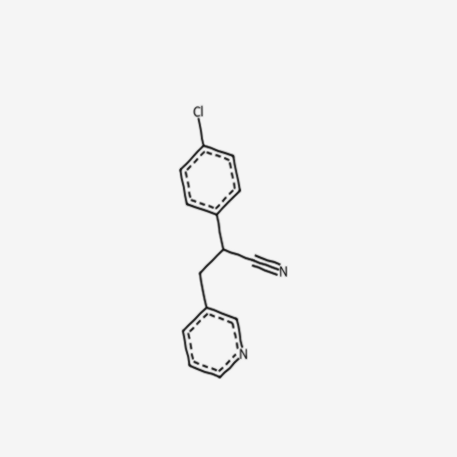 N#CC(Cc1cccnc1)c1ccc(Cl)cc1